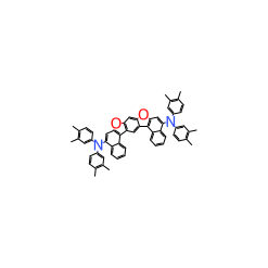 Cc1ccc(N(c2ccc(C)c(C)c2)c2cc3oc4cc5oc6cc(N(c7ccc(C)c(C)c7)c7ccc(C)c(C)c7)c7ccccc7c6c5cc4c3c3ccccc23)cc1C